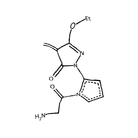 C=C1C(=O)N(c2cccn2C(=O)CN)N=C1OCC